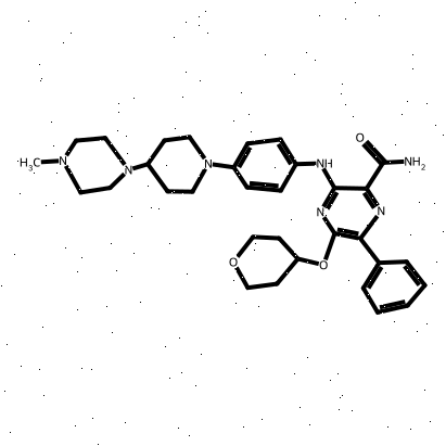 CN1CCN(C2CCN(c3ccc(Nc4nc(OC5CCOCC5)c(-c5ccccc5)nc4C(N)=O)cc3)CC2)CC1